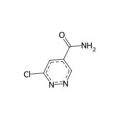 NC(=O)c1cnnc(Cl)c1